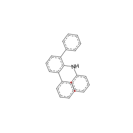 c1ccc(Nc2c(-c3ccccc3)cccc2-c2ccccc2)cc1